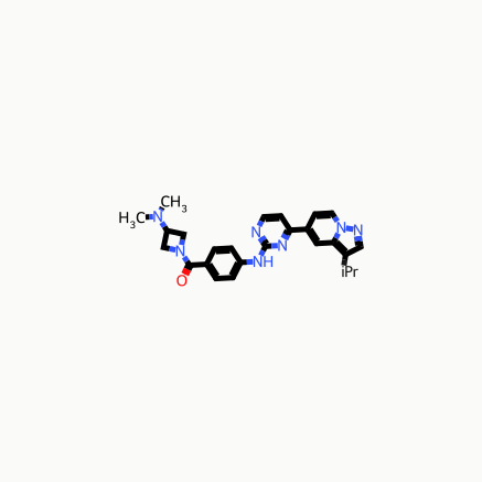 CC(C)c1cnn2ccc(-c3ccnc(Nc4ccc(C(=O)N5CC(N(C)C)C5)cc4)n3)cc12